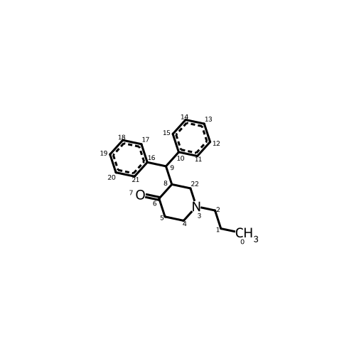 CCCN1CCC(=O)C(C(c2ccccc2)c2ccccc2)C1